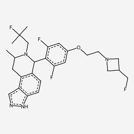 CC1Cc2c(ccc3[nH]ncc23)C(c2c(F)cc(OCCN3CC(CF)C3)cc2F)N1CC(C)(C)F